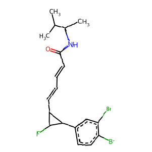 CC(C)C(C)NC(=O)C=CC=CC1C(F)C1c1ccc(Br)c(Br)c1